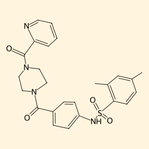 Cc1ccc(S(=O)(=O)Nc2ccc(C(=O)N3CCN(C(=O)c4ccccn4)CC3)cc2)c(C)c1